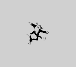 O=C1CC(O)(C(=O)O)[C@@H](C(=O)O)O1